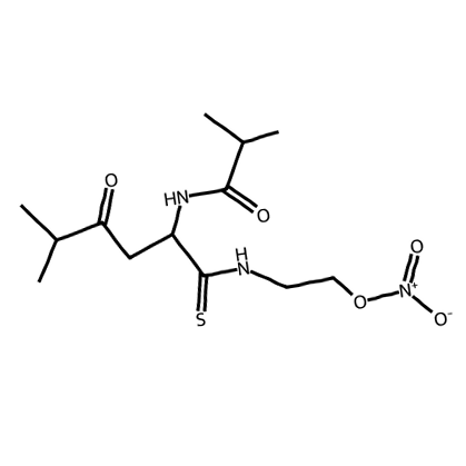 CC(C)C(=O)CC(NC(=O)C(C)C)C(=S)NCCO[N+](=O)[O-]